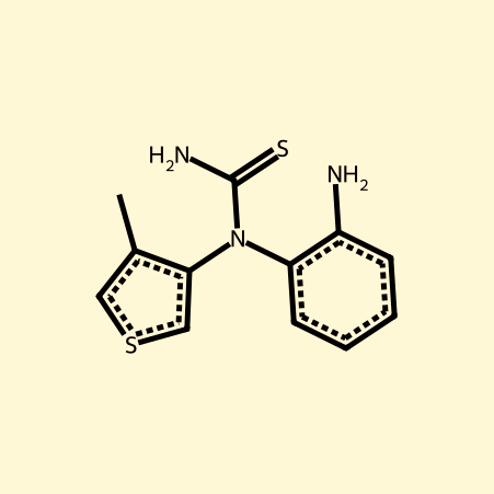 Cc1cscc1N(C(N)=S)c1ccccc1N